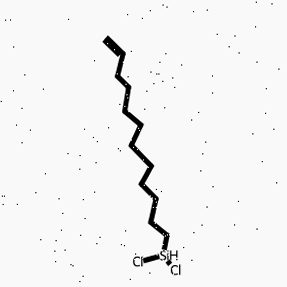 C=CCCCCCCCCCC[SiH](Cl)Cl